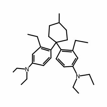 CCc1cc(N(CC)CC)ccc1C1(c2ccc(N(CC)CC)cc2CC)CCC(C)CC1